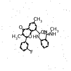 CNC(=O)c1ccccc1N[C@H](C)c1cc(C)cc2c(=O)c(C)c(-c3cccc(F)c3)oc12